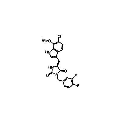 COc1c(Cl)ccc2c(/C=C3\NC(=O)N(Cc4ccc(F)c(F)c4)C3=O)c[nH]c12